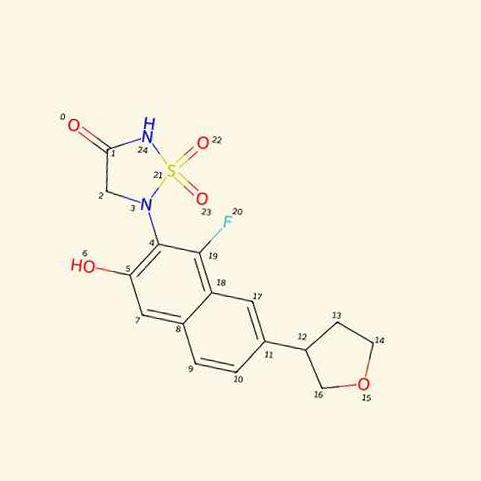 O=C1CN(c2c(O)cc3ccc(C4CCOC4)cc3c2F)S(=O)(=O)N1